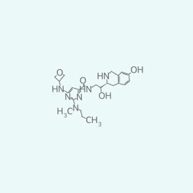 CCCN(C)c1nc(NC2COC2)cc(C(=O)NCC(O)[C@@H]2Cc3ccc(O)cc3CN2)n1